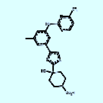 Cc1cc(Nc2nccc(C(F)(F)F)n2)cc(-c2cnc(C3(O)CCC(C(=O)O)CC3)s2)c1